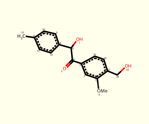 COc1cc(C(=O)C(O)c2ccc(C)cc2)ccc1CO